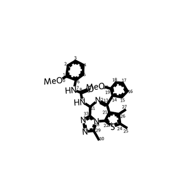 COc1ccccc1NC(=O)NC1N=C(c2ccccc2OC)c2c(sc(C)c2C)-n2c(C)nnc21